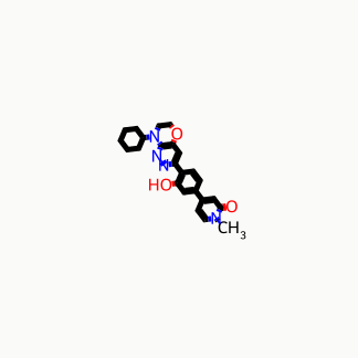 Cn1ccc(-c2ccc(-c3cc4c(nn3)N(C3CCCCC3)CCO4)c(O)c2)cc1=O